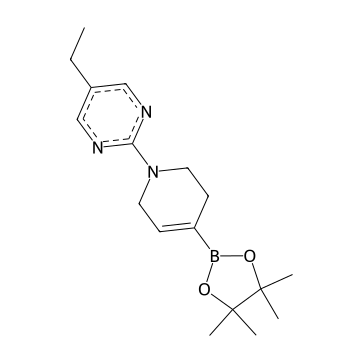 CCc1cnc(N2CC=C(B3OC(C)(C)C(C)(C)O3)CC2)nc1